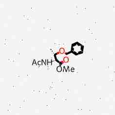 COC(=O)[C@H](NC(C)=O)[C@H](C)OCc1ccccc1